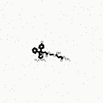 COC(=O)/C=C/C(O)OCCOC(=O)Cc1c(-c2ccc(Cl)cc2)c(-c2ccccc2)c2n1CC(C)(C)C2